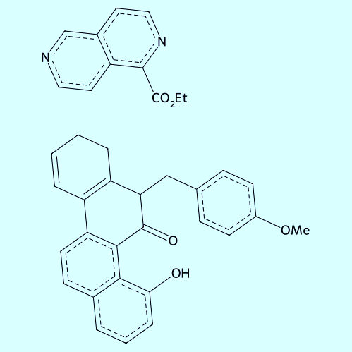 CCOC(=O)c1nccc2cnccc12.COc1ccc(CC2C(=O)c3c(ccc4cccc(O)c34)C3=C2CCC=C3)cc1